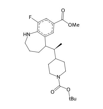 COC(=O)c1cc(F)c2c(c1)C([C@@H](C)C1CCN(C(=O)OC(C)(C)C)CC1)CCCN2